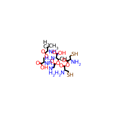 CC(C)[C@H](N)C(=O)OC[C@H](N)C(=O)O.C[C@@H](OC(=O)CN)[C@H](N)C(=O)O.N[C@@H](CS)C(=O)OC(=O)[C@@H](N)CS